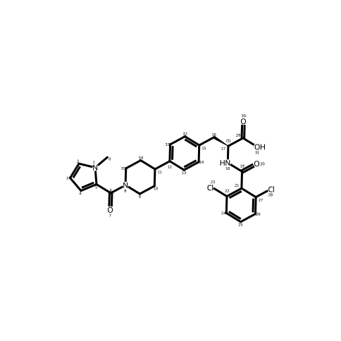 Cn1cccc1C(=O)N1CCC(c2ccc(C[C@H](NC(=O)c3c(Cl)cccc3Cl)C(=O)O)cc2)CC1